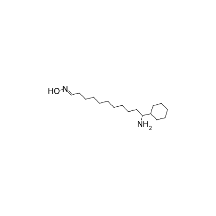 NC(CCCCCCCCCC=NO)C1CCCCC1